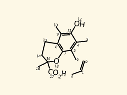 C=CC.Cc1c(C)c2c(c(C)c1O)CCC(C)(C(=O)O)O2